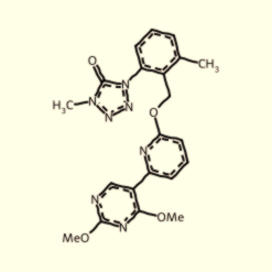 COc1ncc(-c2cccc(OCc3c(C)cccc3-n3nnn(C)c3=O)n2)c(OC)n1